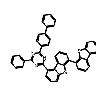 c1ccc(-c2ccc(-c3nc(-c4ccccc4)nc(-c4cccc5sc6c(-c7cccc8c7sc7ccccc78)cccc6c45)n3)cc2)cc1